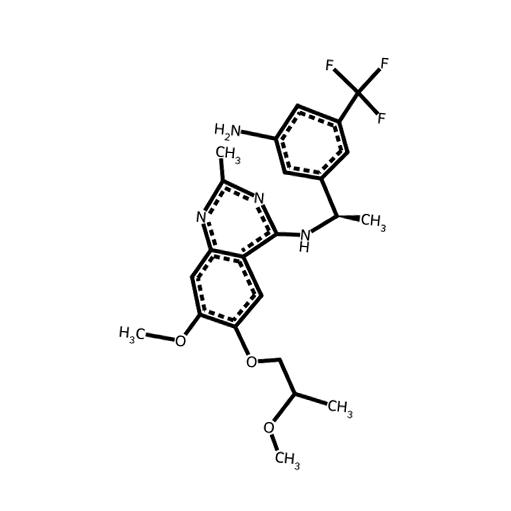 COc1cc2nc(C)nc(N[C@H](C)c3cc(N)cc(C(F)(F)F)c3)c2cc1OCC(C)OC